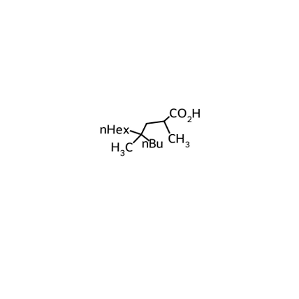 CCCCCCC(C)(CCCC)CC(C)C(=O)O